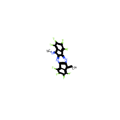 N#C/C=C1/c2nc3c(nc2-c2c(F)c(F)c(F)c(F)c21)/C(=N/C#N)c1c(F)c(F)c(F)c(F)c1-3